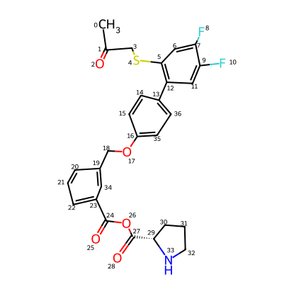 CC(=O)CSc1cc(F)c(F)cc1-c1ccc(OCc2cccc(C(=O)OC(=O)[C@@H]3CCCN3)c2)cc1